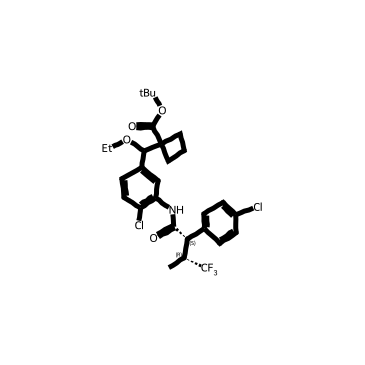 CCOC(c1ccc(Cl)c(NC(=O)[C@H](c2ccc(Cl)cc2)[C@@H](C)C(F)(F)F)c1)C1(C(=O)OC(C)(C)C)CCC1